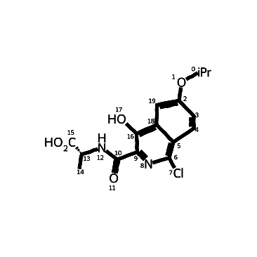 CC(C)Oc1ccc2c(Cl)nc(C(=O)N[C@H](C)C(=O)O)c(O)c2c1